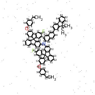 C=Cc1ccc(Oc2ccc(C3(c4ccc(F)cc4)c4ccccc4-c4ccc(N(c5ccc6c(c5)C(c5ccc(F)cc5)(c5ccc(Oc7ccc(C=C)cc7)cc5)c5ccccc5-6)c5ccc6cc(-c7ccc8c(c7)C(C)(C)c7ccccc7-8)ccc6c5)cc43)cc2)cc1